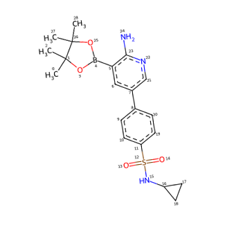 CC1(C)OB(c2cc(-c3ccc(S(=O)(=O)NC4CC4)cc3)cnc2N)OC1(C)C